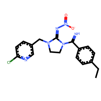 CCc1ccc(C(=N)N2CCN(Cc3ccc(Cl)nc3)/C2=N/[N+](=O)[O-])cc1